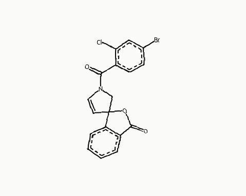 O=C1OC2(C=CN(C(=O)c3ccc(Br)cc3Cl)C2)c2ccccc21